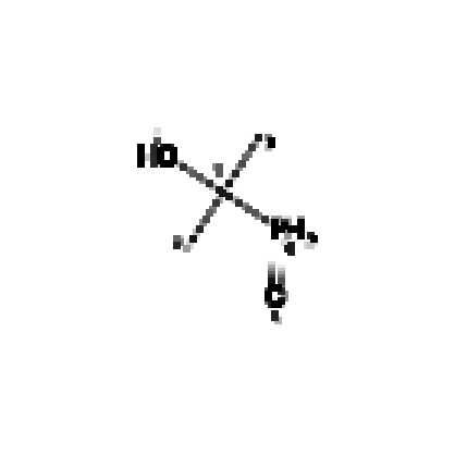 CC(C)(O)[PH2]=O